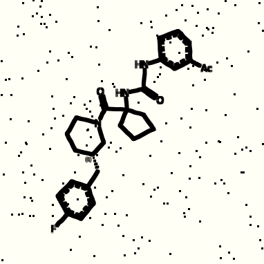 CC(=O)c1cccc(NC(=O)NC2(C(=O)N3CCC[C@@H](Cc4ccc(F)cc4)C3)CCCC2)c1